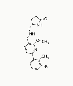 COc1nc(-c2cccc(Br)c2C)cnc1CNC[C@@H]1CCC(=O)N1